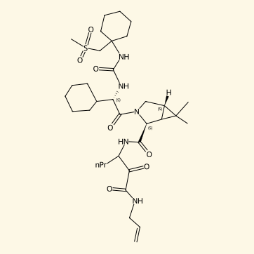 C=CCNC(=O)C(=O)C(CCC)NC(=O)[C@@H]1C2[C@H](CN1C(=O)[C@@H](NC(=O)NC1(CS(C)(=O)=O)CCCCC1)C1CCCCC1)C2(C)C